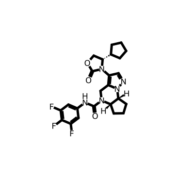 O=C(Nc1cc(F)c(F)c(F)c1)N1Cc2c(N3C(=O)OC[C@@H]3C3CCCC3)cnn2[C@@H]2CCC[C@@H]21